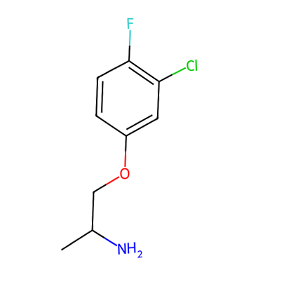 CC(N)COc1ccc(F)c(Cl)c1